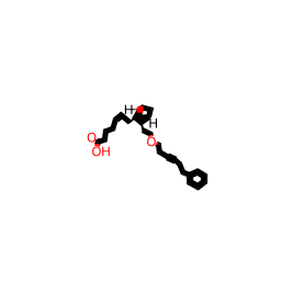 O=C(O)CCC/C=C\C[C@H]1[C@H]2CC[C@H](C2)[C@H]1CCOCCC#CCCc1ccccc1